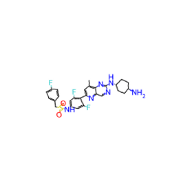 Cc1cc(-c2c(F)cc(NS(=O)(=O)Cc3ccc(F)cc3)cc2F)nc2cnc(N[C@H]3CC[C@H](N)CC3)nc12